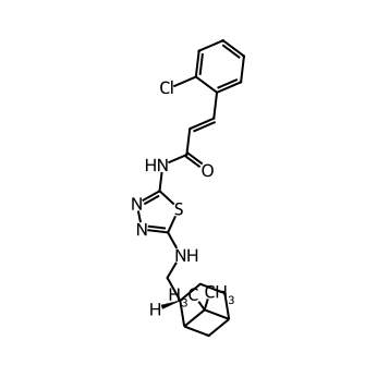 CC1(C)C2CC[C@@H](CNc3nnc(NC(=O)/C=C/c4ccccc4Cl)s3)C1C2